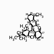 Cc1cc(C(C)(C)C)cc(C)c1N1c2ccccc2Oc2cc3c(C)cccc3cc21